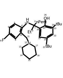 CCCCCC(CC)(Pc1ccc(F)cc1CN1CCCCC1)c1cc(C(C)(C)C)cc(C(C)(C)C)c1O